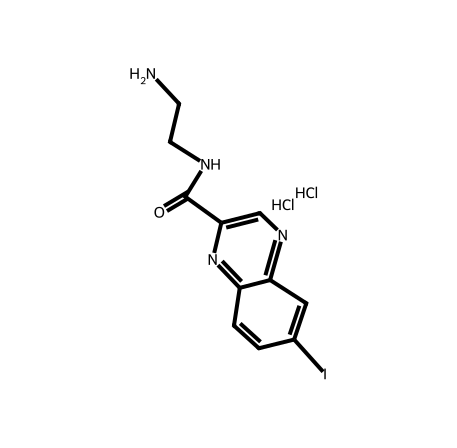 Cl.Cl.NCCNC(=O)c1cnc2cc(I)ccc2n1